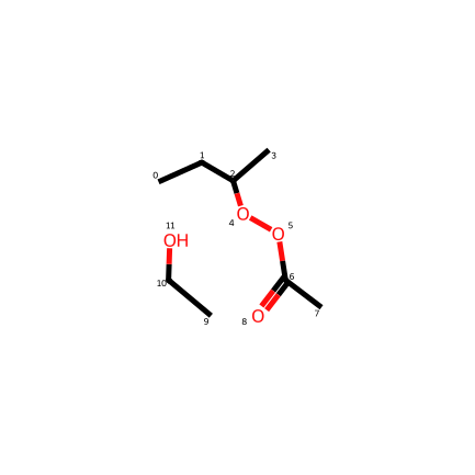 CCC(C)OOC(C)=O.CCO